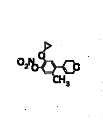 Cc1cc(O[N+](=O)[O-])c(OC2CC2)cc1C1=CCOCC1